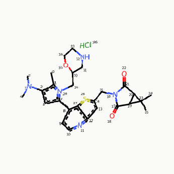 Cc1c(N(C)C)cc(-c2ccnc3cc(CN4C(=O)C5C(C4=O)C5(C)C)sc23)n1CC1CNCCO1.Cl